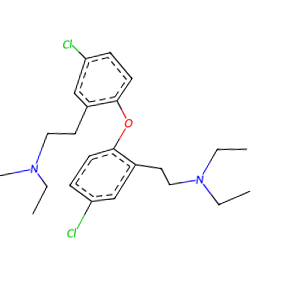 CCN(CC)CCc1cc(Cl)ccc1Oc1ccc(Cl)cc1CCN(CC)CC